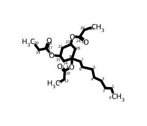 CCCCCCCCC1(OC(=O)CC)CC(OC(=O)CC)CC(OC(=O)CC)C1